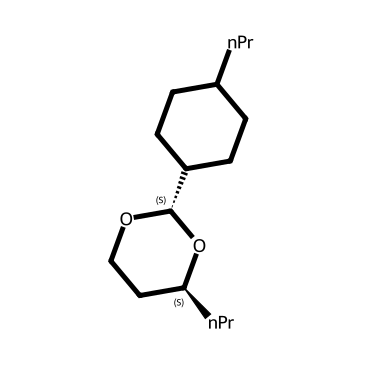 CCCC1CCC([C@H]2OCC[C@H](CCC)O2)CC1